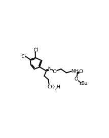 CC(C)(C)OC(=O)NCCON=C(CCC(=O)O)c1ccc(Cl)c(Cl)c1